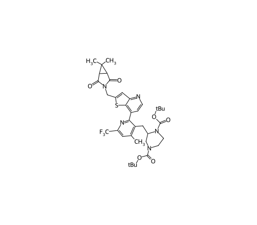 Cc1cc(C(F)(F)F)nc(-c2ccnc3cc(CN4C(=O)C5C(C4=O)C5(C)C)sc23)c1CC1CN(C(=O)OC(C)(C)C)CCN1C(=O)OC(C)(C)C